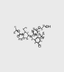 CCC1CC(N(Cc2cc(Cl)cc(C(F)(F)F)c2)c2ncc(OCCO)cn2)CC(CC)N1C(=O)OC(C)C